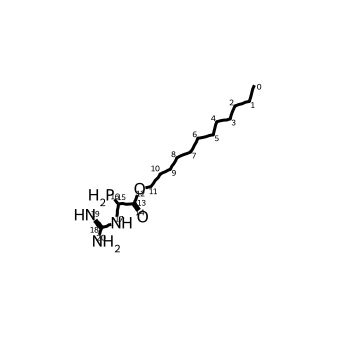 CCCCCCCCCCCCOC(=O)C(P)NC(=N)N